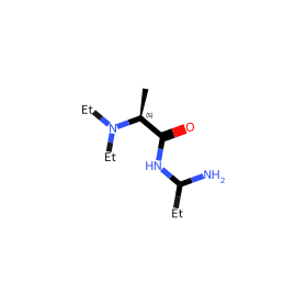 CCC(N)NC(=O)[C@H](C)N(CC)CC